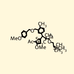 COc1ccc(COCc2cc(C(c3cc(OC)c(C(C)=O)s3)C(C)(C)C(=O)OCC[Si](C)(C)C)ccc2C)cc1